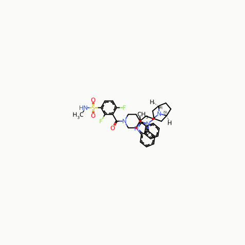 CNS(=O)(=O)c1ccc(F)c(C(=O)N2CCC(CCN3[C@@H]4CC[C@H]3CC(n3c(C)nc5ccccc53)C4)(c3ccccc3)CC2)c1F